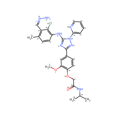 COc1cc(-c2nc(Nc3ccc(C)c(/C=N\N)c3Cl)n(-c3ccccn3)n2)ccc1OCC(=O)NC(C)C